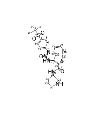 CC(C)(C)S(=O)(=O)c1ccc(N2C(=O)Nc3c(C(=O)N[C@@H]4CCCNC4)sc4nccc2c34)cc1